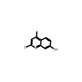 Cc1cc(Cl)nc2cc(O)ccc12